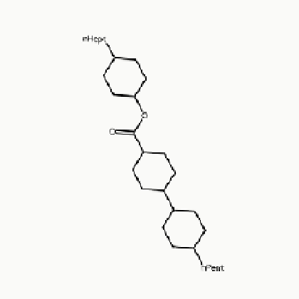 CCCCCCCC1CCC(OC(=O)C2CCC(C3CCC(CCCCC)CC3)CC2)CC1